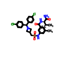 Cc1cc(NS(=O)(=O)CC2CN(C(c3ccc(Cl)cc3)c3ccc(Cl)cc3)C2)cc(C(=O)N[C@H](C(N)=O)C(C)C)c1